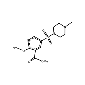 CCCOc1ncc(S(=O)(=O)N2CCN(C)CC2)cc1C(=O)OC